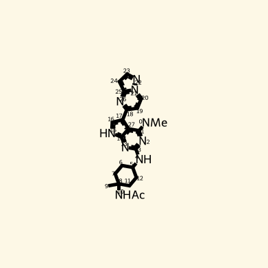 CNc1nc(NC2CCC(C)(NC(C)=O)CC2)nc2[nH]cc(-c3ccn4nccc4n3)c12